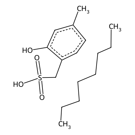 CCCCCCCC.Cc1ccc(CS(=O)(=O)O)c(O)c1